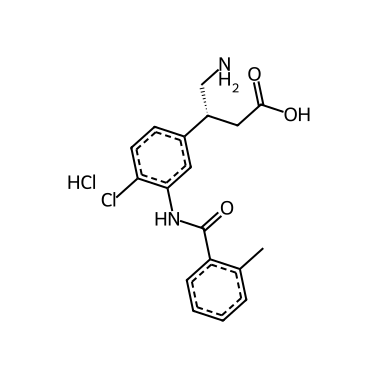 Cc1ccccc1C(=O)Nc1cc([C@H](CN)CC(=O)O)ccc1Cl.Cl